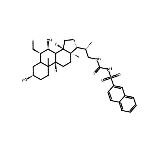 CC[C@@H]1C2C[C@H](O)CCC2(C)[C@H]2CC[C@]3(C)[C@@H]([C@H](C)CNC(=O)NS(=O)(=O)c4ccc5ccccc5c4)CC[C@H]3C2[C@@H]1O